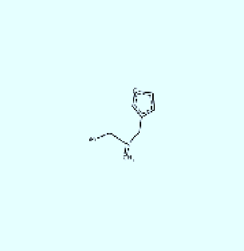 C=S(Cc1ccoc1)CC(C)C